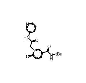 CC(C)(C)NC(=O)c1ccc(=O)n(CC(=O)Nc2cccnc2)c1